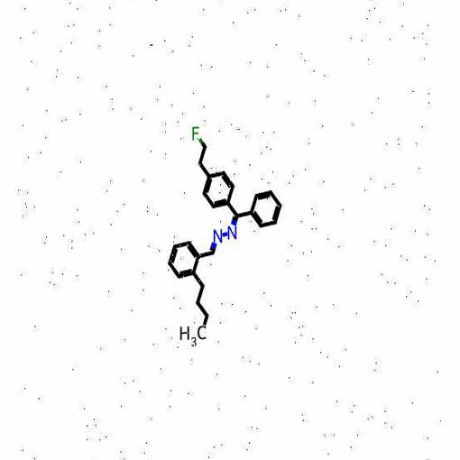 CCCCc1ccccc1C=NN=C(c1ccccc1)c1ccc(CCF)cc1